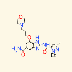 CCn1nc(C)cc1C(=O)Nc1nc2cc(C(N)=O)cc(OCCCN3CCOCC3)c2[nH]1